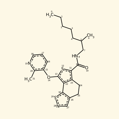 CCCCCC(C)CNC(=O)c1sc(Oc2cccnc2C)c2c1CCc1cnsc1-2